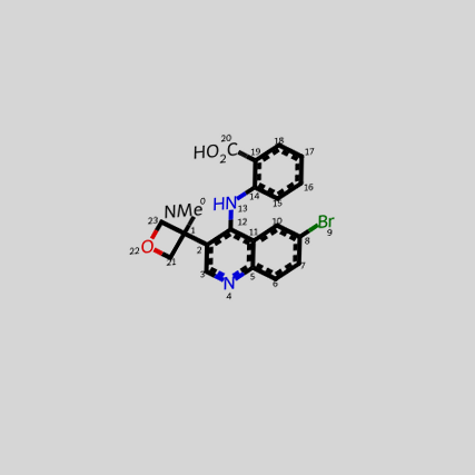 CNC1(c2cnc3ccc(Br)cc3c2Nc2ccccc2C(=O)O)COC1